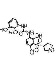 O=C(Nc1cccc(O)c1O)Nc1ccc(Cl)c(S(=O)(=O)[C@@H]2CCNC2)c1O